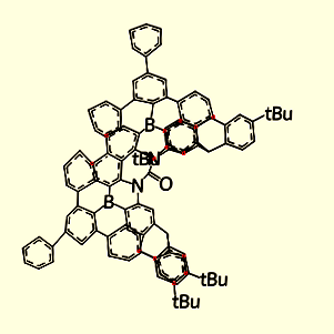 CC(C)(C)c1ccc2c(c1)C1c3ccc(C(C)(C)C)cc3C2c2cc3c(cc21)B(c1c(-c2ccccc2)cc(-c2ccccc2)cc1-c1ccccc1)c1ccc2ccc4c5c2c1N3C(=O)N5c1cc2c(cc1B4c1c(-c3ccccc3)cc(-c3ccccc3)cc1-c1ccccc1)C1c3ccc(C(C)(C)C)cc3C2c2ccc(C(C)(C)C)cc21